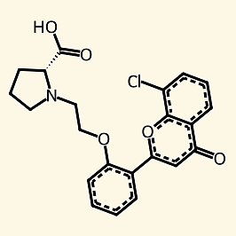 O=C(O)[C@H]1CCCN1CCOc1ccccc1-c1cc(=O)c2cccc(Cl)c2o1